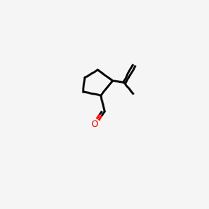 C=C(C)C1CCCC1C=O